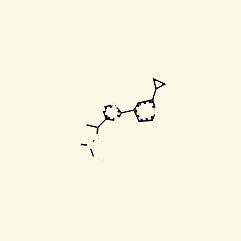 CCC(C)[S+]([O-])NC(C)c1nc(-c2ccnc(C3CC3)c2)ns1